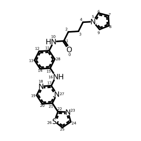 O=C(CCCn1cccc1)Nc1cccc(Nc2nccc(-c3nccs3)n2)c1